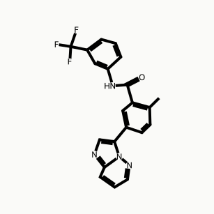 Cc1ccc(-c2cnc3cccnn23)cc1C(=O)Nc1cccc(C(F)(F)F)c1